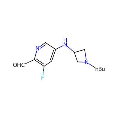 CCCCN1CC(Nc2cnc(C=O)c(F)c2)C1